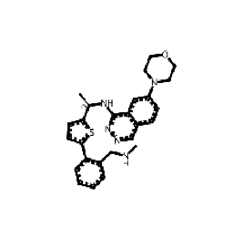 CNCc1ccccc1-c1ccc([C@@H](C)Nc2nncc3ccc(N4CCOCC4)cc23)s1